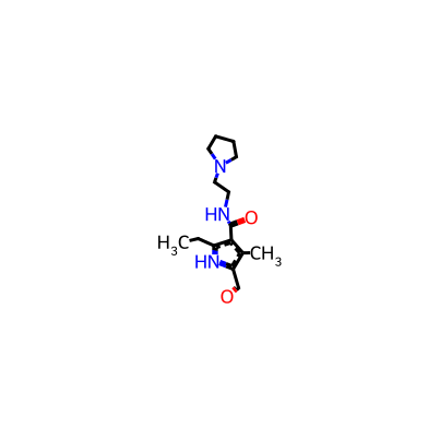 CCc1[nH]c(C=O)c(C)c1C(=O)NCCN1CCCC1